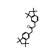 CC1(C)CC(C)(C)c2cc(CC(=O)Cc3ccc4c(c3)C(C)(C)CC4(C)C)ccc21